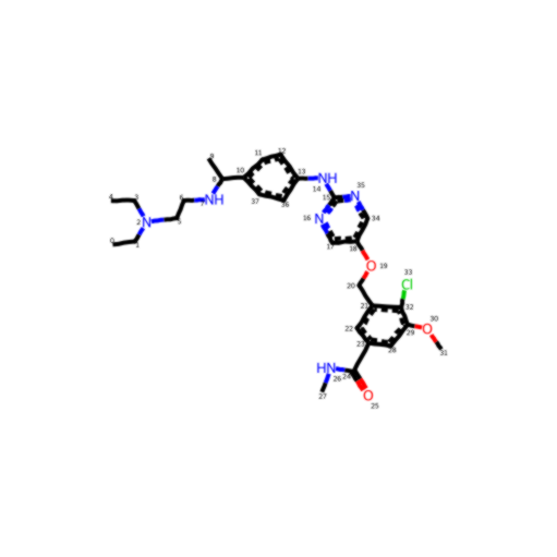 CCN(CC)CCNC(C)c1ccc(Nc2ncc(OCc3cc(C(=O)NC)cc(OC)c3Cl)cn2)cc1